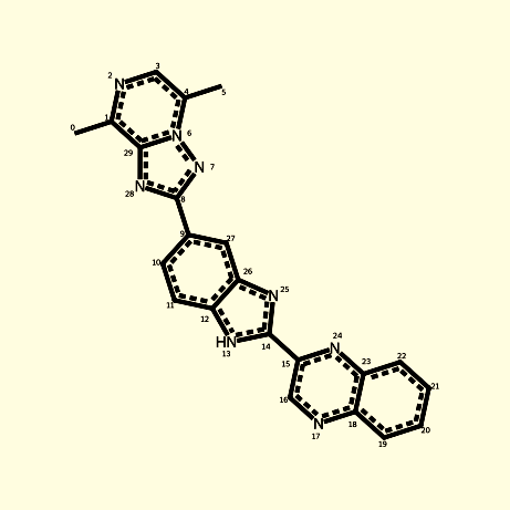 Cc1ncc(C)n2nc(-c3ccc4[nH]c(-c5cnc6ccccc6n5)nc4c3)nc12